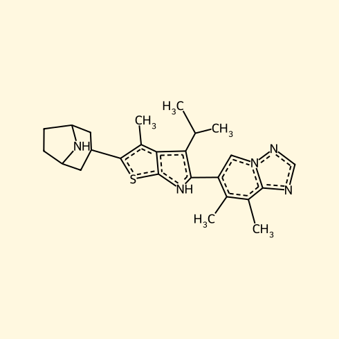 Cc1c(-c2[nH]c3sc(C4CC5CCC(C4)N5)c(C)c3c2C(C)C)cn2ncnc2c1C